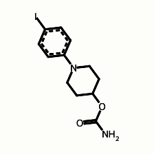 NC(=O)OC1CCN(c2ccc(I)cc2)CC1